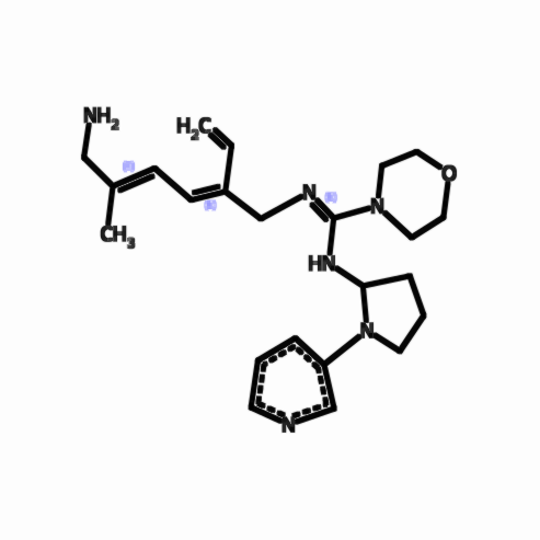 C=C/C(=C\C=C(/C)CN)C/N=C(\NC1CCCN1c1cccnc1)N1CCOCC1